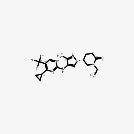 CCN1C[C@H](n2cc(Nc3ncc(C(F)(F)F)c(C4CC4)n3)c(C)n2)CCC1=O